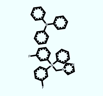 Fc1cccc([Si](Cn2ccnc2)(c2ccccc2)c2cccc(F)c2)c1.c1ccc(B(c2ccccc2)c2ccccc2)cc1